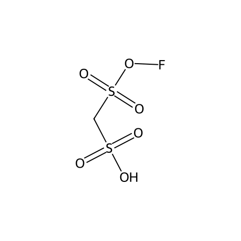 O=S(=O)(O)CS(=O)(=O)OF